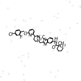 Cn1c(CN2CCC(c3cccc(OCc4ccc(Cl)cc4F)n3)CC2)nc2cc(NC(=O)C3(C)CCCCO3)ccc21